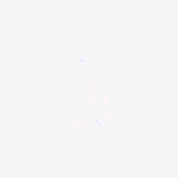 CC(N)(O)P(=O)(O)OOCC[N+](C)(C)C